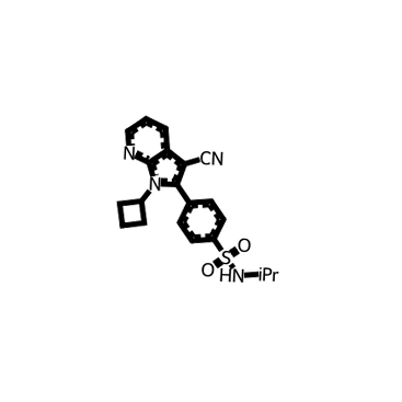 CC(C)NS(=O)(=O)c1ccc(-c2c(C#N)c3cccnc3n2C2CCC2)cc1